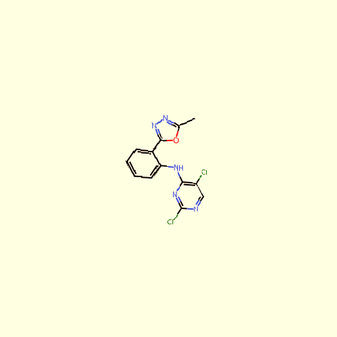 Cc1nnc(-c2ccccc2Nc2nc(Cl)ncc2Cl)o1